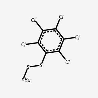 CCCCSSc1c(Cl)c(Cl)c(Cl)c(Cl)c1Cl